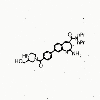 CCCN(CCC)C(=O)C1=Cc2ccc(-c3ccc(C(=O)N4CCNC(CO)C4)cc3)cc2N=C(N)C1